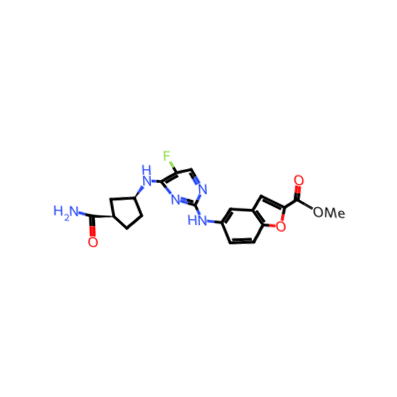 COC(=O)c1cc2cc(Nc3ncc(F)c(N[C@H]4CC[C@@H](C(N)=O)C4)n3)ccc2o1